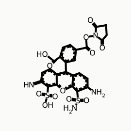 N=c1ccc2c(-c3cc(C(=O)ON4C(=O)CCC4=O)ccc3C(=O)O)c3ccc(N)c(S(N)(=O)=O)c3oc-2c1S(=O)(=O)O